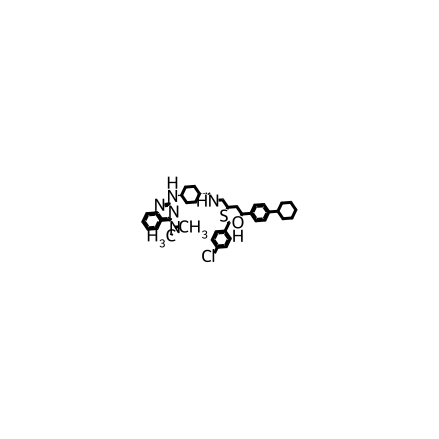 CN(C)c1nc(N[C@H]2CC[C@@H](CNCC(CC(O)c3ccc(C4CCCCC4)cc3)SCc3ccc(Cl)cc3)CC2)nc2ccccc12